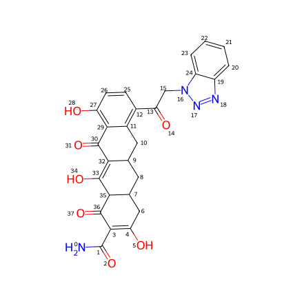 NC(=O)C1=C(O)CC2CC3Cc4c(C(=O)Cn5nnc6ccccc65)ccc(O)c4C(=O)C3=C(O)C2C1=O